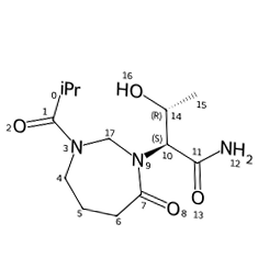 CC(C)C(=O)N1CCCC(=O)N([C@H](C(N)=O)[C@@H](C)O)C1